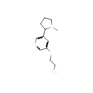 CN1CCCC1c1cncc(OCCN)c1